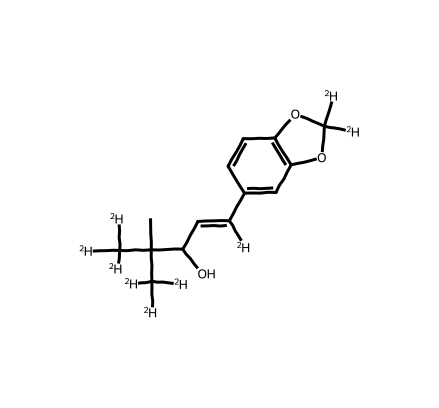 [2H]/C(=C\C(O)C(C)(C([2H])([2H])[2H])C([2H])([2H])[2H])c1ccc2c(c1)OC([2H])([2H])O2